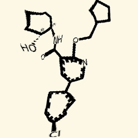 O=C(N[C@@H]1CCCC[C@H]1O)c1cc(-c2ccc(Cl)cc2)cnc1OCC1CCCC1